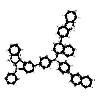 c1ccc(N2c3ccc(-c4ccc(N(c5ccc(-c6ccc7ccccc7c6)cc5)c5ccc(-c6ccc7c(c6)oc6ccccc67)c6ccccc56)cc4)cc3C3c4ccccc4OC32)cc1